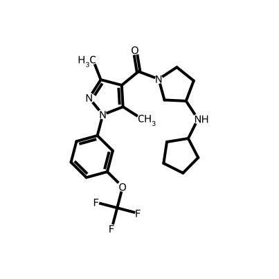 Cc1nn(-c2cccc(OC(F)(F)F)c2)c(C)c1C(=O)N1CCC(NC2CCCC2)C1